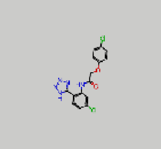 O=C(COc1ccc(Cl)cc1)Nc1cc(Cl)ccc1-c1nnn[nH]1